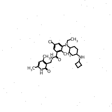 CCN(c1cc(Cl)cc(C(=O)NCc2c(C)cc(C)[nH]c2=O)c1C)C1CCC(NC2CCC2)CC1